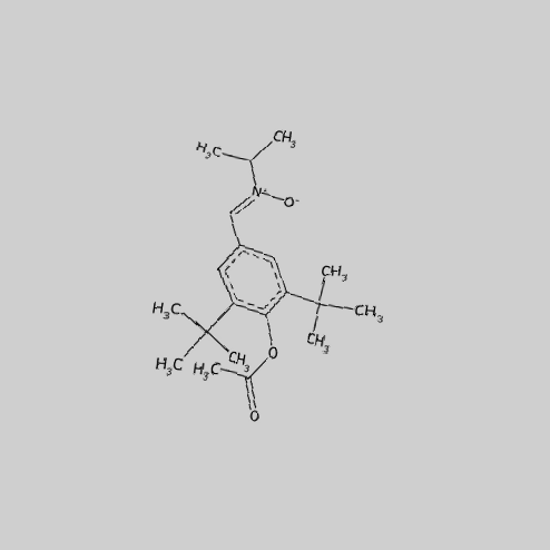 CC(=O)Oc1c(C(C)(C)C)cc(C=[N+]([O-])C(C)C)cc1C(C)(C)C